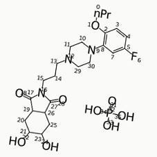 CCCOc1ccc(F)cc1N1CCN(CCCN2C(=O)C3CC(O)C(O)CC3C2=O)CC1.O=P(O)(O)O